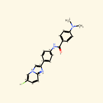 CN(C)c1ccc(C(=O)Nc2ccc(-c3cn4cc(F)ccc4n3)cc2)cc1